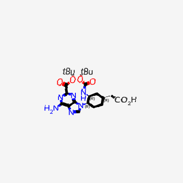 CC(C)(C)OC(=O)N[C@@H]1C[C@H](CC(=O)O)CC[C@H]1n1cnc2c(N)nc(C(=O)OC(C)(C)C)nc21